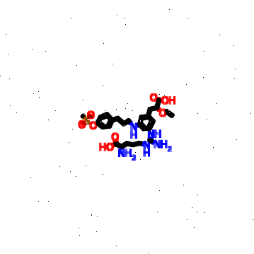 CCOC(Cc1cccc(NCCCc2ccc(OS(C)(=O)=O)cc2)c1)C(=O)O.N=C(N)NCCCC(N)C(=O)O